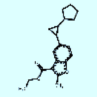 CCOC(=O)c1c(C)oc2ccc(C3CC3C3CCCC3)cc12